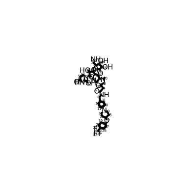 CN(CCCC(=O)NCc1ccc(N2CCC(Oc3ccc(C(F)(F)F)cc3)CC2)cc1)C(C(N)=O)C(OC1OC(CN)C(O)C1O)C1OC(N2C=CC(=O)NC2O)C(O)C1O